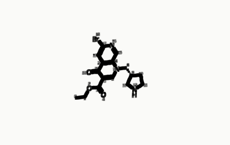 CCOC(=O)c1cn(C[C@@H]2CCNC2)c2cnc(Br)cc2c1=O